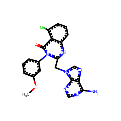 COc1cccc(-n2c(Cn3cnc4c(N)ncnc43)nc3cccc(Cl)c3c2=O)c1